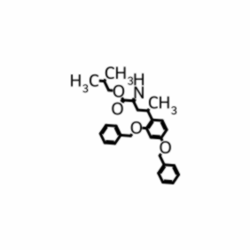 CC(C)COC(=O)C(=N)CC(C)c1ccc(OCc2ccccc2)cc1OCc1ccccc1